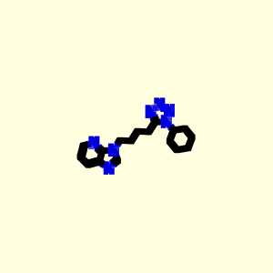 c1cnc2c(c1)ncn2CCCCc1nnnn1C1CCCCC1